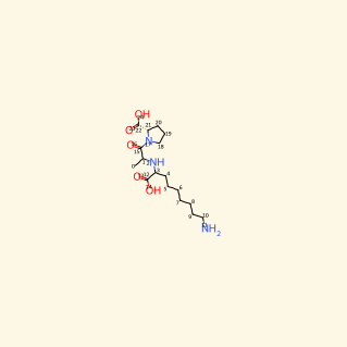 CC(NC(CCCCCCCN)C(=O)O)C(=O)N1CCC[C@H]1C(=O)O